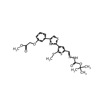 COC(=O)COc1cccc(-c2csc(-c3cc(C=NNC(=O)OC(C)(C)C)sc3SC)n2)c1